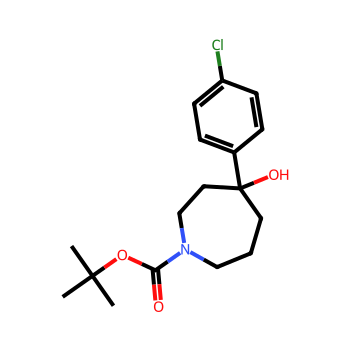 CC(C)(C)OC(=O)N1CCCC(O)(c2ccc(Cl)cc2)CC1